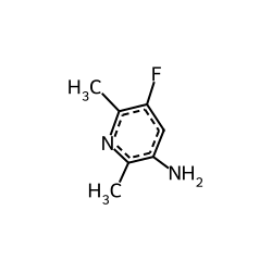 Cc1nc(C)c(F)cc1N